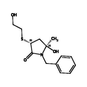 C[C@@]1(O)C[C@@H](SCCO)C(=O)N1Cc1ccccc1